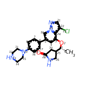 C[C@@H](Oc1cc(-c2ccc(N3CCNCC3)cc2)cn2ncc(Cl)c12)C1CNC(=O)C1